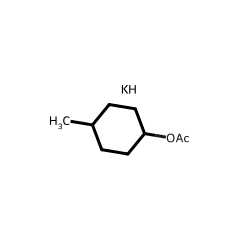 CC(=O)OC1CCC(C)CC1.[KH]